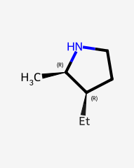 CC[C@@H]1CCN[C@@H]1C